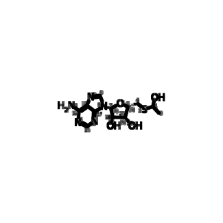 CC(O)SC[C@H]1O[C@@H](n2cnc3c(N)ncnc32)[C@H](O)[C@@H]1O